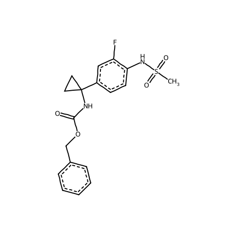 CS(=O)(=O)Nc1ccc(C2(NC(=O)OCc3ccccc3)CC2)cc1F